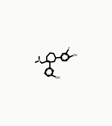 CN(C)CC1=C(c2cccc(O)c2)CC(c2ccc(O)c(F)c2)CCC1